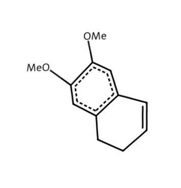 COc1cc2c(cc1OC)CCC=C2